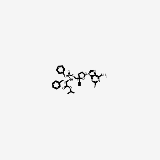 C#C[C@@]1(CO[P@@](=O)(N[C@@H](Cc2ccccc2)C(=O)OC(C)C)Oc2ccccc2)[CH]C[C@H](n2cnc3c(N)nc(F)nc32)O1